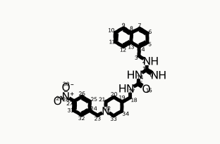 N=C(NCc1cccc2ccccc12)NC(=O)NCC1CCN(Cc2ccc([N+](=O)[O-])cc2)CC1